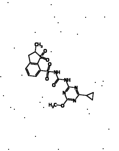 COc1nc(NC(=O)NS(=O)(=O)c2cccc3c2S(=O)(=O)C(C)C3)nc(C2CC2)n1